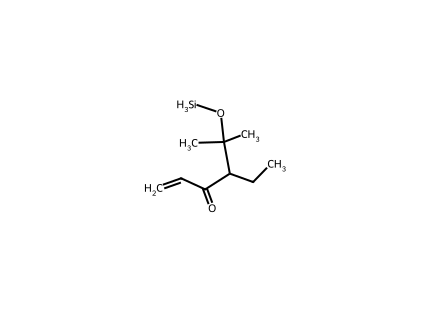 C=CC(=O)C(CC)C(C)(C)O[SiH3]